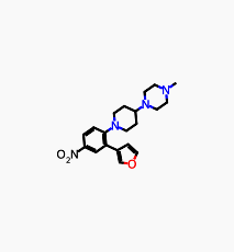 CN1CCN(C2CCN(c3ccc([N+](=O)[O-])cc3-c3ccoc3)CC2)CC1